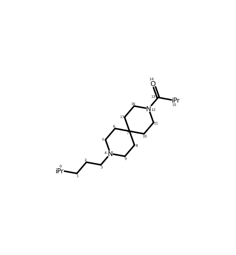 CC(C)CCCN1CCC2(CC1)CCN(C(=O)C(C)C)CC2